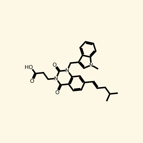 CC(C)CC=Cc1ccc2c(=O)n(CCC(=O)O)c(=O)n(Cc3cn(C)c4ccccc34)c2c1